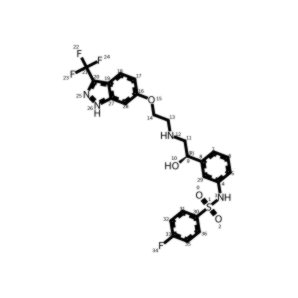 O=S(=O)(Nc1cccc([C@@H](O)CNCCOc2ccc3c(C(F)(F)F)n[nH]c3c2)c1)c1ccc(F)cc1